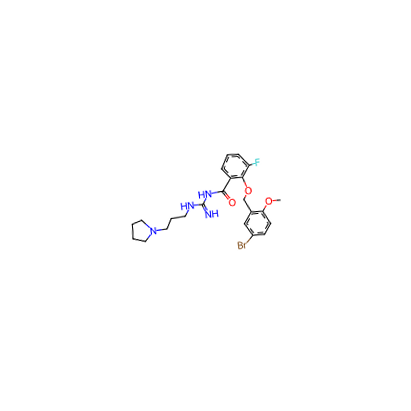 COc1ccc(Br)cc1COc1c(F)cccc1C(=O)NC(=N)NCCCN1CCCC1